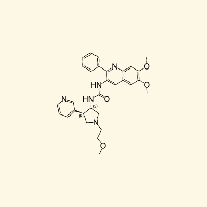 COCCN1C[C@@H](NC(=O)Nc2cc3cc(OC)c(OC)cc3nc2-c2ccccc2)[C@H](c2cccnc2)C1